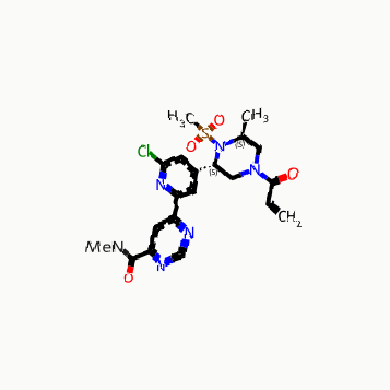 C=CC(=O)N1C[C@H](c2cc(Cl)nc(-c3cc(C(=O)NC)ncn3)c2)N(S(C)(=O)=O)[C@@H](C)C1